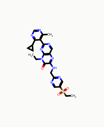 CCn1c(=O)c(NCc2ncc(S(=O)(=O)CC)cn2)nc2cnc(-c3c(C)ncnc3C3CC3)nc21